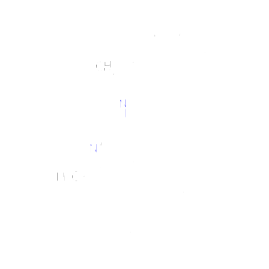 C=C(/C=C\N=C(/C)C1CCCCCCC1)NC1CCCCCCC1